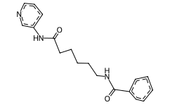 O=C(CCCCCNC(=O)c1ccccc1)Nc1cccnc1